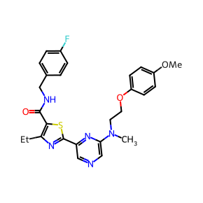 CCc1nc(-c2cncc(N(C)CCOc3ccc(OC)cc3)n2)sc1C(=O)NCc1ccc(F)cc1